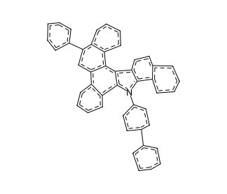 c1ccc(-c2ccc(-n3c4c5ccccc5ccc4c4c5c6ccccc6c(-c6ccccc6)cc5c5ccccc5c43)cc2)cc1